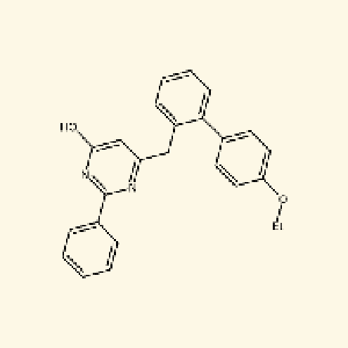 CCOc1ccc(-c2ccccc2Cc2cc(O)nc(-c3ccccc3)n2)cc1